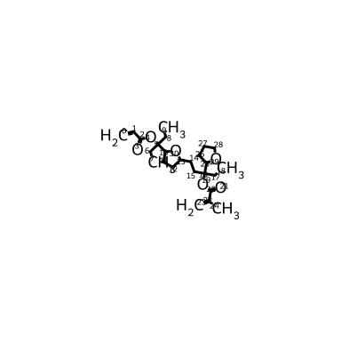 C=CC(=O)OC(CC)(CC)C1CCC(CCC(CC)(OC(=O)C(=C)C)C2CCCO2)O1